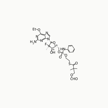 CCOc1nc(N)nc2c1ncn2[C@@H]1O[C@H](COP(=O)(Nc2ccccc2)OCCSC(=O)C(C)(C)COC=O)[C@@H](O)[C@@]1(C)F